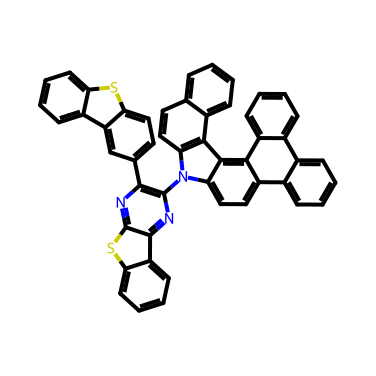 c1ccc2c(c1)ccc1c2c2c3c4ccccc4c4ccccc4c3ccc2n1-c1nc2c(nc1-c1ccc3sc4ccccc4c3c1)sc1ccccc12